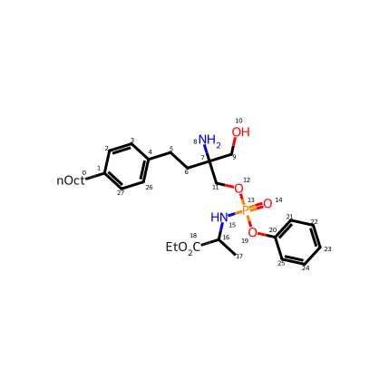 CCCCCCCCc1ccc(CCC(N)(CO)COP(=O)(NC(C)C(=O)OCC)Oc2ccccc2)cc1